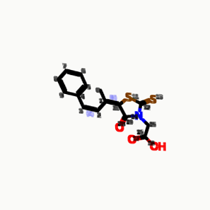 CC(/C=C\c1ccccc1)=C1\SC(=S)N(CC(=O)O)C1=O